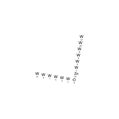 [O].[W].[W].[W].[W].[W].[W].[W].[W].[W].[W].[W].[W].[Zn]